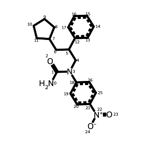 NC(=O)N(CC(CC1CCCC1)c1ccccc1)c1ccc([N+](=O)[O-])cc1